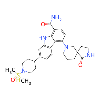 C[SH](C)(=O)N1CCC(c2ccc3c(c2)[nH]c2c(C(N)=O)ccc(N4CCCC5(CCNC5=O)C4)c23)CC1